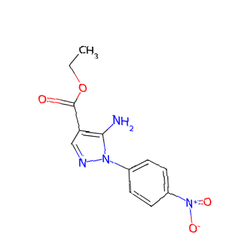 CCOC(=O)c1cnn(-c2ccc([N+](=O)[O-])cc2)c1N